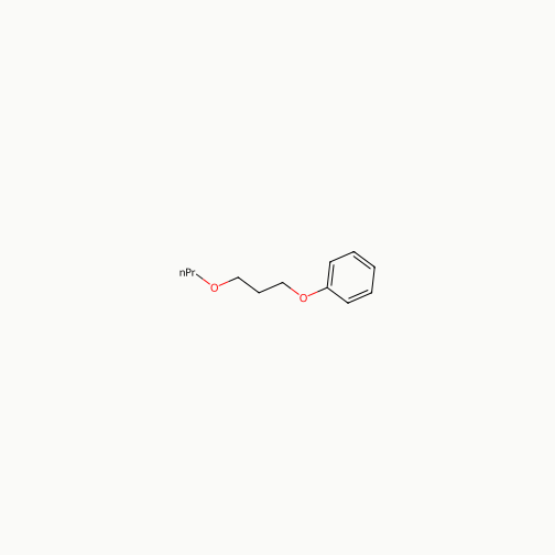 [CH2]CCOCCCOc1ccccc1